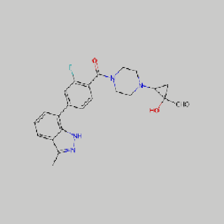 Cc1n[nH]c2c(-c3ccc(C(=O)N4CCN(C5CC5(O)C=O)CC4)c(F)c3)cccc12